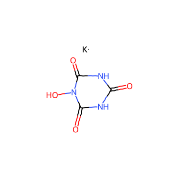 O=c1[nH]c(=O)n(O)c(=O)[nH]1.[K]